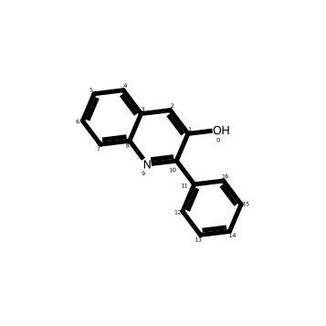 Oc1cc2ccccc2nc1-c1ccccc1